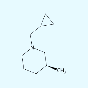 C[C@H]1CCCN(CC2CC2)C1